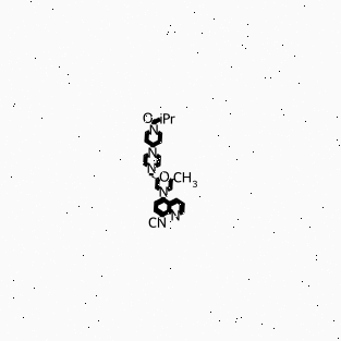 CC(C)C(=O)N1CCC(N2CCN(C[C@H]3CN(c4ccc(C#N)c5ncccc45)C[C@@H](C)O3)CC2)CC1